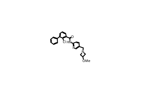 COC1CN(Cc2ccc(NC(=O)c3cccc(-c4ccccc4)c3Cl)nc2)C1